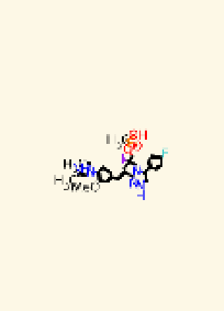 C=CN(/C=C(/C)N)c1ccc(/C=C2\CC(I)(COP(C)(=O)O)CN3C2=NNCC3c2ccc(F)cc2)cc1OC